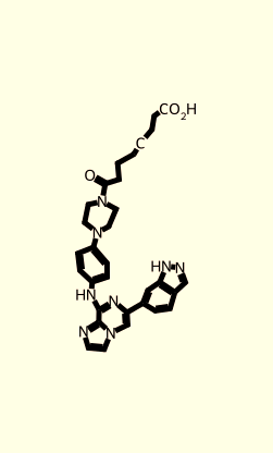 O=C(O)CCCCCCC(=O)N1CCN(c2ccc(Nc3nc(-c4ccc5cn[nH]c5c4)cn4ccnc34)cc2)CC1